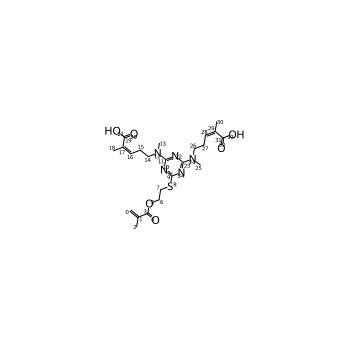 C=C(C)C(=O)OCCSc1nc(N(C)CCC=C(C)C(=O)O)nc(N(C)CCC=C(C)C(=O)O)n1